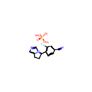 N#Cc1ccc(C2CCc3cncn32)c(F)c1.O=P(O)(O)O